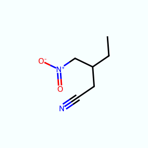 CCC(CC#N)C[N+](=O)[O-]